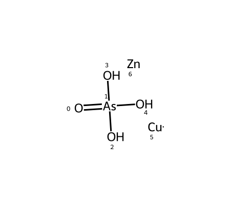 O=[As](O)(O)O.[Cu].[Zn]